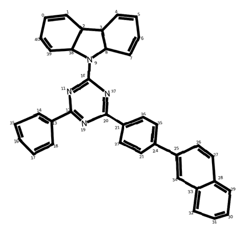 C1=CC2C3C=CC=CC3N(c3nc(-c4ccccc4)nc(-c4ccc(-c5ccc6ccccc6c5)cc4)n3)C2C=C1